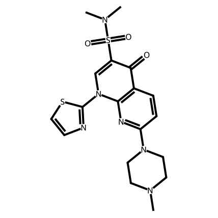 CN1CCN(c2ccc3c(=O)c(S(=O)(=O)N(C)C)cn(-c4nccs4)c3n2)CC1